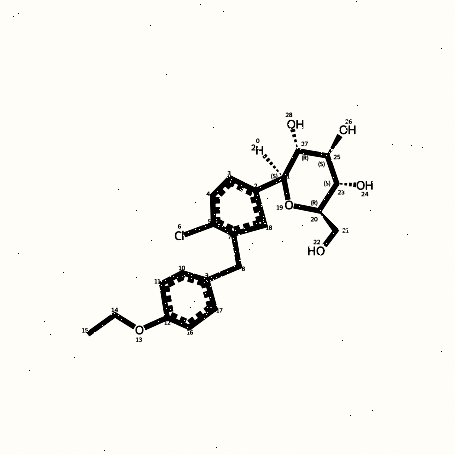 [2H][C@@]1(c2ccc(Cl)c(Cc3ccc(OCC)cc3)c2)O[C@H](CO)[C@@H](O)[C@H](O)[C@H]1O